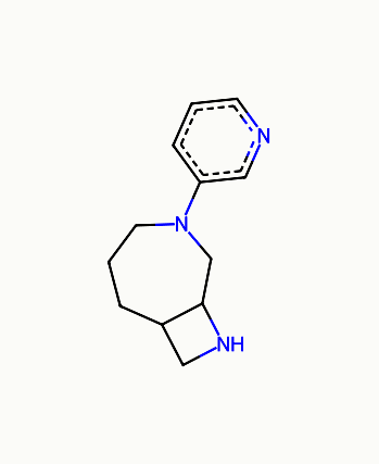 c1cncc(N2CCCC3CNC3C2)c1